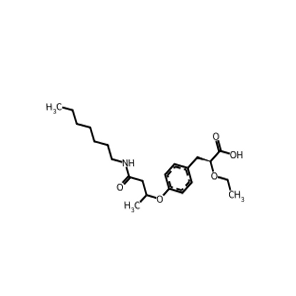 CCCCCCCNC(=O)CC(C)Oc1ccc(C[C@H](OCC)C(=O)O)cc1